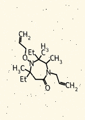 C=CCON1C(C)(CC)CC(=O)N(CC=C)C(C)C1(C)CC